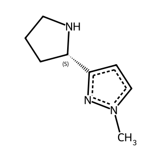 Cn1ccc([C@@H]2CCCN2)n1